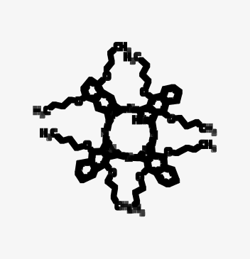 CCCCOc1ccc(OCCCC)c2cc3c(cc12)-c1nc-3nc2[nH]c(nc3nc(nc4[nH]c(n1)c1c(OCCCC)c5ccccc5c(OCCCC)c41)-c1c-3c(OCCCC)c3ccccc3c1OCCCC)c1c(OCCCC)c3ccccc3c(OCCCC)c21